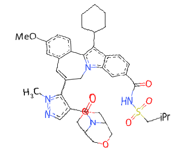 COc1ccc2c(c1)C=C(c1c(C(=O)N3C4COCC3COC4)cnn1C)Cn1c-2c(C2CCCCC2)c2ccc(C(=O)NS(=O)(=O)CC(C)C)cc21